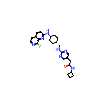 O=C(Cc1cnc(NC[C@H]2CC[C@H](Nc3ccc4ccnc(Cl)c4n3)CC2)nc1)NC1CCC1